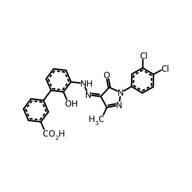 CC1=NN(c2ccc(Cl)c(Cl)c2)C(=O)C1=NNc1cccc(-c2cccc(C(=O)O)c2)c1O